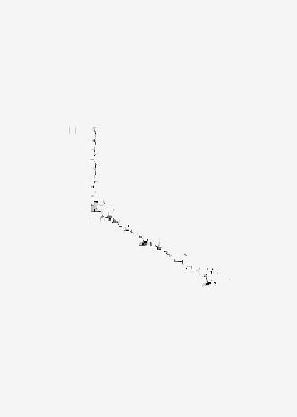 NN[C@@H](CCCCNC(=O)COCCOCCNC(=O)COCCOCCNC(=O)CC[C@H](NC(=O)CCCCCCCCCCCCCCC(=O)O)C(=O)O)C(N)=O